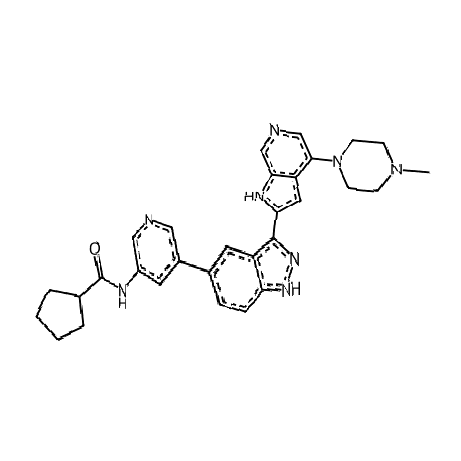 CN1CCN(c2cncc3[nH]c(-c4n[nH]c5ccc(-c6cncc(NC(=O)C7CCCC7)c6)cc45)cc23)CC1